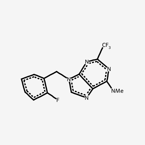 CNc1nc(C(F)(F)F)nc2c1ncn2Cc1ccccc1F